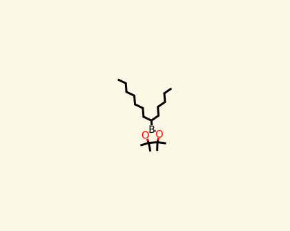 CCCCCCCC(CCCCC)B1OC(C)(C)C(C)(C)O1